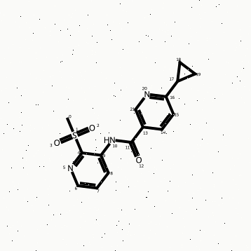 CS(=O)(=O)c1ncccc1NC(=O)c1ccc(C2CC2)nc1